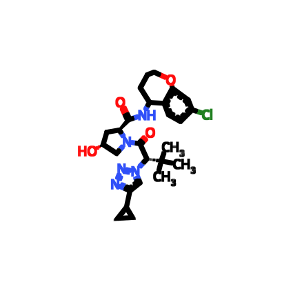 CC(C)(C)[C@@H](C(=O)N1C[C@H](O)C[C@H]1C(=O)NC1CCCOc2cc(Cl)ccc21)n1cc(C2CC2)nn1